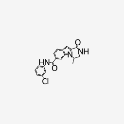 CC1CNC(=O)c2cc3ccc(C(=O)Nc4cccc(Cl)c4)cc3n21